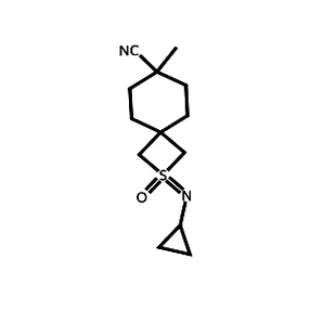 CC1(C#N)CCC2(CC1)CS(=O)(=NC1CC1)C2